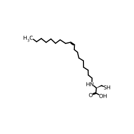 CCCCCCCC/C=C\CCCCCCCCN[C@@H](CS)C(=O)O